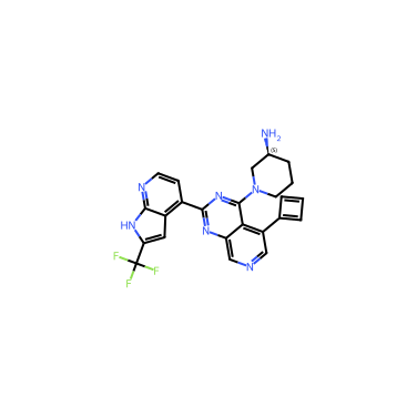 N[C@H]1CCCN(c2nc(-c3ccnc4[nH]c(C(F)(F)F)cc34)nc3cncc(C4=CC=C4)c23)C1